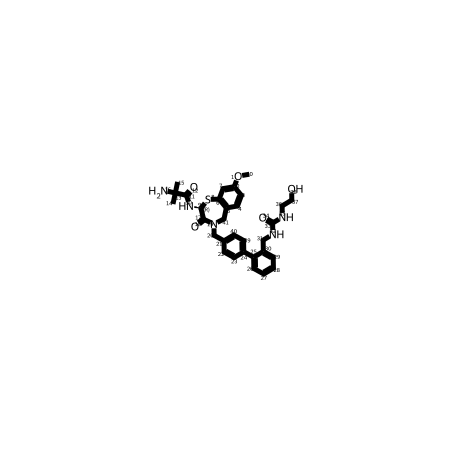 COc1ccc2c(c1)S[C@@H](NC(=O)C(C)(C)N)C(=O)N(Cc1ccc(-c3ccccc3CNC(=O)NCCO)cc1)C2